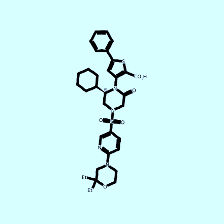 CCC1(CC)CN(c2ccc(S(=O)(=O)N3CC(=O)N(c4cc(-c5ccccc5)sc4C(=O)O)[C@H](C4CCCCC4)C3)cn2)CCO1